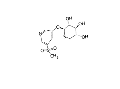 CS(=O)(=O)c1cncc(O[C@@H]2SC[C@@H](O)[C@H](O)[C@H]2O)c1